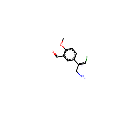 COc1ccc(/C(=C\F)CN)cc1C=O